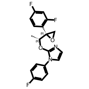 C[C@@H](Oc1nccn1-c1ccc(F)cc1)[C@@]1(c2ccc(F)cc2F)CO1